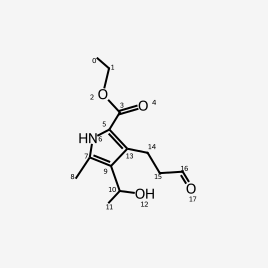 CCOC(=O)c1[nH]c(C)c(C(C)O)c1CCC=O